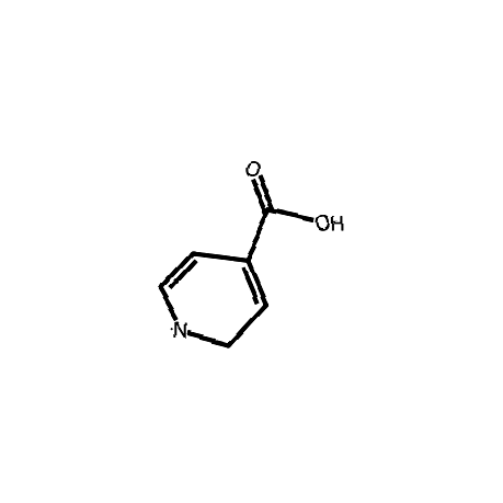 O=C(O)C1=CC[N]C=C1